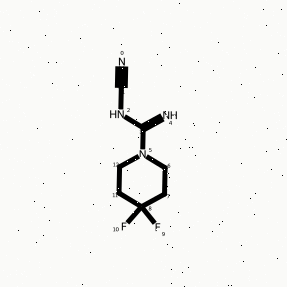 N#CNC(=N)N1CCC(F)(F)CC1